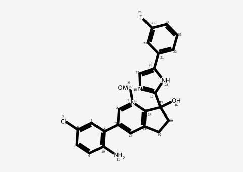 CO[n+]1cc(-c2cc(Cl)ccc2N)cc2c1C(O)(c1ncc(-c3cccc(F)c3)[nH]1)CC2